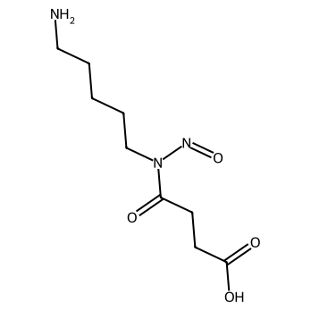 NCCCCCN(N=O)C(=O)CCC(=O)O